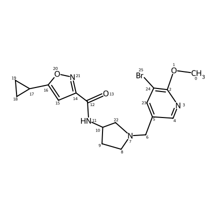 COc1ncc(CN2CCC(NC(=O)c3cc(C4CC4)on3)C2)cc1Br